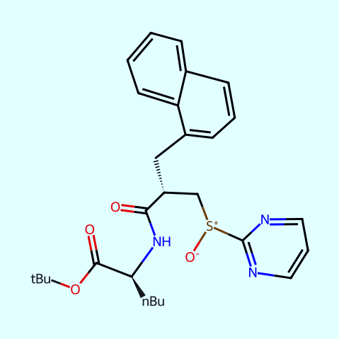 CCCC[C@H](NC(=O)[C@H](Cc1cccc2ccccc12)C[S+]([O-])c1ncccn1)C(=O)OC(C)(C)C